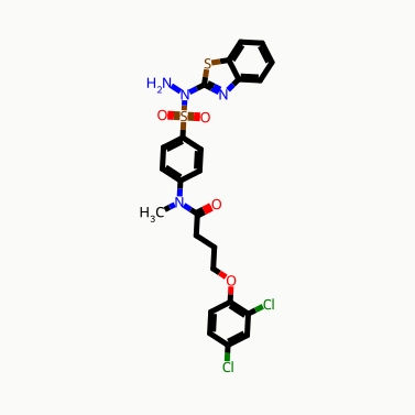 CN(C(=O)CCCOc1ccc(Cl)cc1Cl)c1ccc(S(=O)(=O)N(N)c2nc3ccccc3s2)cc1